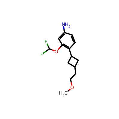 COCC[C]1CC(c2ccc(N)cc2OC(F)F)C1